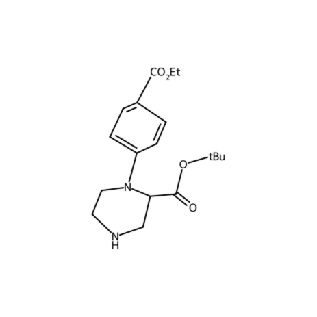 CCOC(=O)c1ccc(N2CCNCC2C(=O)OC(C)(C)C)cc1